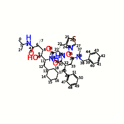 CC(C)NC(=O)[C@H](C)C[C@H](O)[C@H](CC1CCCCC1)NC(=O)[C@H](Cc1cscn1)NC(=O)[C@@H](CC(=O)N(C)Cc1ccccc1)Cc1ccccc1